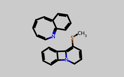 C1=CC=c2ccccc2=NC=C1.CSC1=C2c3ccccc3N2CC=C1